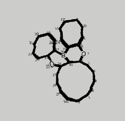 C1CCCCCC2OC3CCCCCCC3B3C4CCCCCCC4OC(CCCC1)C32